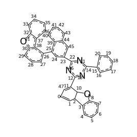 C1=CC2c3ccccc3OC2C(c2nc(-c3ccccc3)nc(-c3cc(-c4cccc5oc6ccccc6c45)c4ccccc4c3)n2)=C1